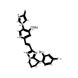 COc1cc(/C=C/c2nc3n(n2)CCC[C@@H]3c2ccc(F)cc2Br)ncc1-n1cnc(C)c1